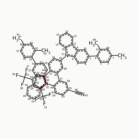 Cc1ccc(-c2ccc3c(c2)c2ccccc2n3-c2ccc(-c3cc(C(F)(F)F)cc(C(F)(F)F)c3)c(-c3cc(C#N)ccc3-n3c4ccccc4c4cc(-c5ccc(C)cc5C)ccc43)c2)c(C)c1